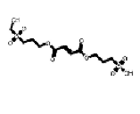 O=C(/C=C/C(=O)OCCCS(=O)(=O)CO)OCCCS(=O)(=O)O